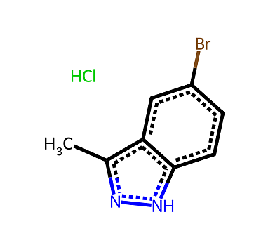 Cc1n[nH]c2ccc(Br)cc12.Cl